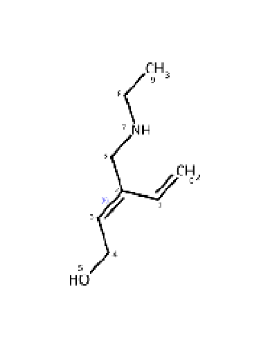 C=C/C(=C\CO)CNCC